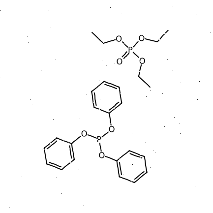 CCOP(=O)(OCC)OCC.c1ccc(OP(Oc2ccccc2)Oc2ccccc2)cc1